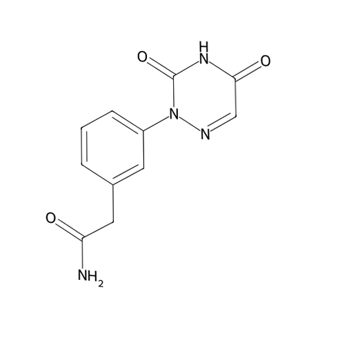 NC(=O)Cc1cccc(-n2ncc(=O)[nH]c2=O)c1